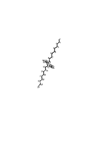 CCCCCCCCCC[N]([Ti+3])CCCCCCCCCC.[Cl-].[Cl-].[Cl-]